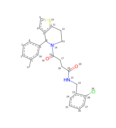 Cc1cccc(C2c3ccsc3CCN2C(=O)CCC(=O)NCc2ccccc2Cl)c1